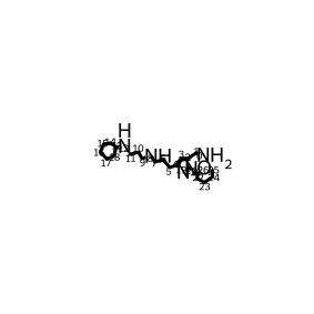 NCc1cc(CCCNCCCNC2CCCCC2)nn1C1CCCCO1